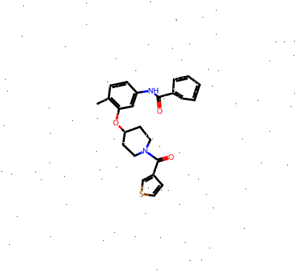 Cc1ccc(NC(=O)c2ccccc2)cc1OC1CCN(C(=O)c2ccsc2)CC1